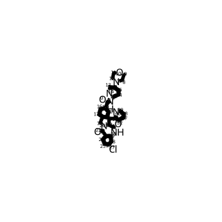 O=C(Nc1ccc(N2CCOCC2)cn1)c1ccc(CN2C(=O)c3ccc(Cl)cc3NC(=O)C2Cc2ccccn2)cc1